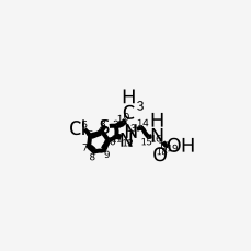 Cc1c2sc3c(Cl)cccc3c2nn1CCNC(=O)O